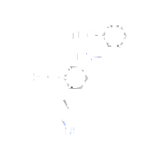 Cc1cc(NCc2ccccc2C)ccc1/C=C/C=N